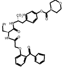 CC(C)C[C@H](NC(=O)COc1ccccc1C(=O)c1ccccc1)C(=O)N[C@@H](Cc1ccc(OC(=O)N2CCOCC2)cc1)C(=O)O